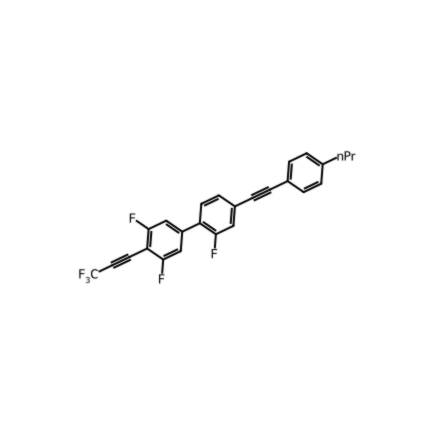 CCCc1ccc(C#Cc2ccc(-c3cc(F)c(C#CC(F)(F)F)c(F)c3)c(F)c2)cc1